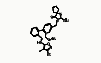 CCCCC1=NC2(CCCC2)C(=O)N1Cc1ccc(-c2ccccc2SNc2onc(CC)c2C)c(COCC)c1